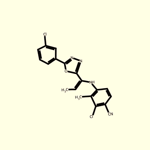 CC=C(Nc1ccc(C#N)c(Cl)c1C)c1nnc(-c2cccc(Cl)c2)o1